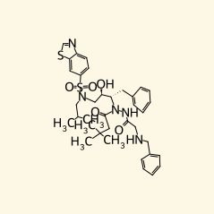 CC(C)CN(C[C@@H](O)[C@H](Cc1ccccc1)N(NC(=O)CNCc1ccccc1)C(=O)CC(C)(C)C)S(=O)(=O)c1ccc2ncsc2c1